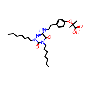 CCCCCCCn1nc(NCCc2ccc(OC(C)(C)C(=O)O)cc2)c(=O)n(CCCCCCC)c1=O